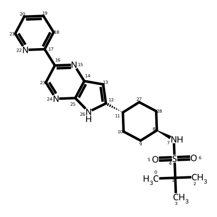 CC(C)(C)S(=O)(=O)N[C@H]1CC[C@H](c2cc3nc(-c4ccccn4)cnc3[nH]2)CC1